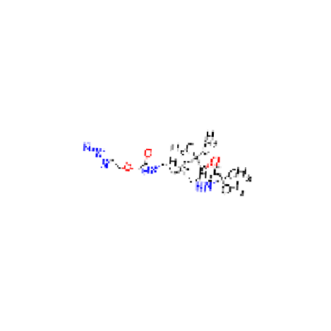 CC(C)(C)NC(CCCCNC(=O)COCCN=[N+]=[N-])C(=O)C(C)(C)C